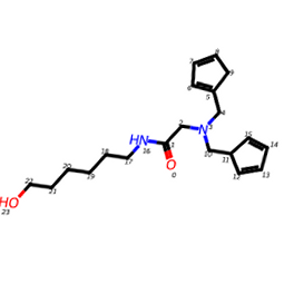 O=C(CN(CC1=CC=CC1)CC1C=CC=C1)NCCCCCCO